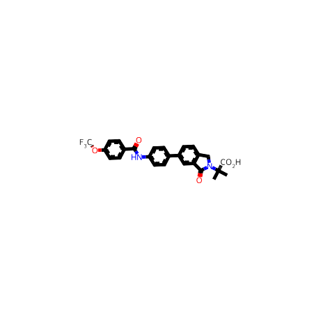 CC(C)(C(=O)O)N1Cc2ccc(-c3ccc(NC(=O)c4ccc(OC(F)(F)F)cc4)cc3)cc2C1=O